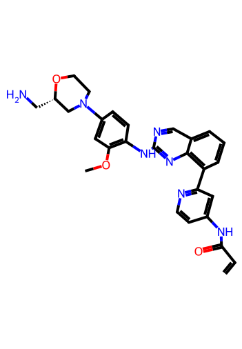 C=CC(=O)Nc1ccnc(-c2cccc3cnc(Nc4ccc(N5CCO[C@@H](CN)C5)cc4OC)nc23)c1